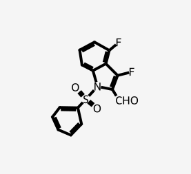 O=Cc1c(F)c2c(F)cccc2n1S(=O)(=O)c1ccccc1